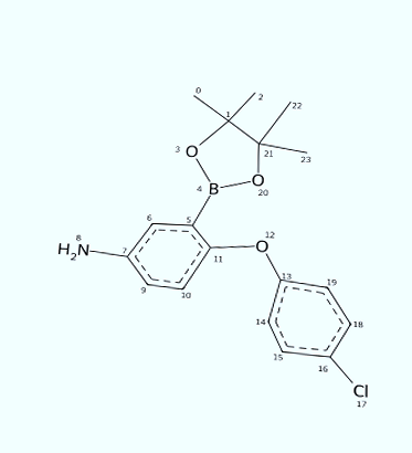 CC1(C)OB(c2cc(N)ccc2Oc2ccc(Cl)cc2)OC1(C)C